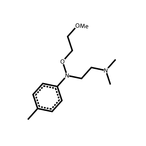 COCCON(CCN(C)C)c1ccc(C)cc1